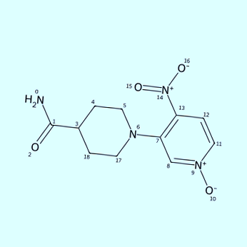 NC(=O)C1CCN(c2c[n+]([O-])ccc2[N+](=O)[O-])CC1